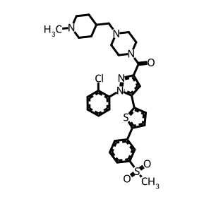 CN1CCC(CN2CCN(C(=O)c3cc(-c4ccc(-c5cccc(S(C)(=O)=O)c5)s4)n(-c4ccccc4Cl)n3)CC2)CC1